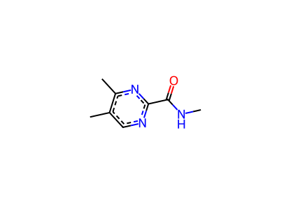 CNC(=O)c1ncc(C)c(C)n1